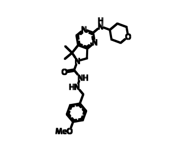 COc1ccc(CNNC(=O)N2Cc3nc(NC4CCOCC4)ncc3C2(C)C)cc1